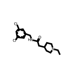 CCN1CCC(CC(=O)NCc2cc(Cl)cc(Cl)c2)CC1